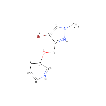 Cn1cc(Br)c(COc2cccnc2)n1